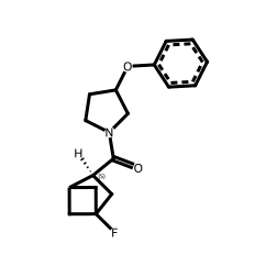 O=C([C@H]1CC2(F)CC1C2)N1CCC(Oc2ccccc2)C1